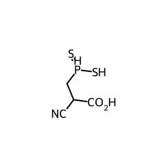 N#CC(C[PH](=S)S)C(=O)O